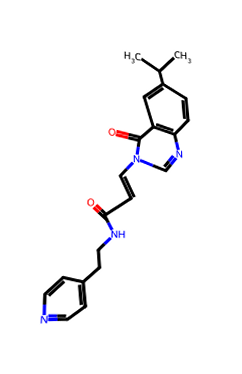 CC(C)c1ccc2ncn(C=CC(=O)NCCc3ccncc3)c(=O)c2c1